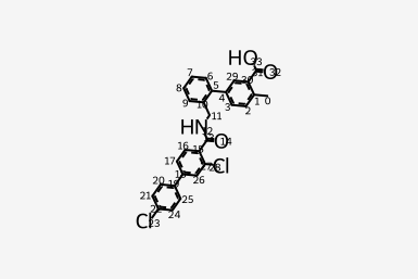 Cc1ccc(-c2ccccc2CNC(=O)c2ccc(-c3ccc(Cl)cc3)cc2Cl)cc1C(=O)O